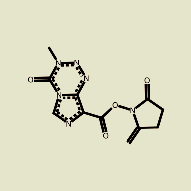 C=C1CCC(=O)N1OC(=O)c1ncn2c(=O)n(C)nnc12